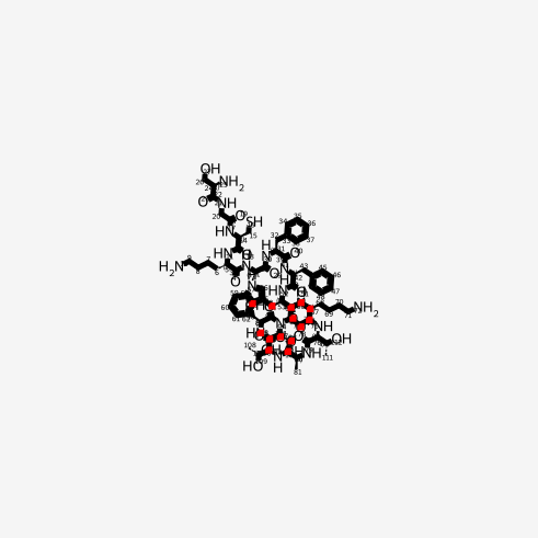 C[C@H](NC(=O)[C@H](CCCCN)NC(=O)[C@H](CS)NC(=O)CNC(=O)[C@H](N)CO)C(=O)N[C@@H](Cc1ccccc1)C(=O)N[C@@H](Cc1ccccc1)C(=O)N[C@H](Cc1c[nH]c2ccccc12)C(=O)N[C@@H](CCCCN)C(=O)N[C@H](C(=O)N[C@@H](C)C(=O)N[C@H](C(=O)N[C@@H](CO)C(=O)N(C1CCCCC1)[C@H](CS)C(=O)O)[C@@H](C)O)[C@@H](C)O